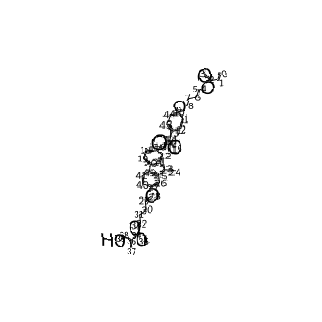 C=CC(=O)OCCCCOc1ccc(C(=O)Oc2ccc3c(c2)C(C)c2cc(OCCCCOC(=O)C(=C)CO)ccc2-3)cc1